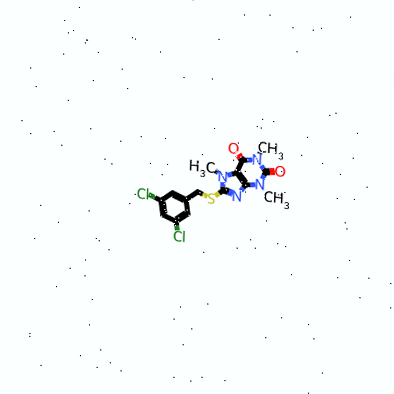 Cn1c(=O)c2c(nc(SCc3cc(Cl)cc(Cl)c3)n2C)n(C)c1=O